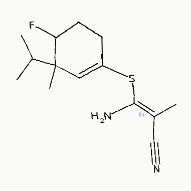 C/C(C#N)=C(/N)SC1=CC(C)(C(C)C)C(F)CC1